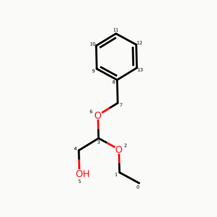 CCOC(CO)OCc1ccccc1